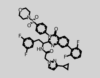 O=C(Cn1ccc(C2CC2)n1)NC(Cc1cc(F)cc(F)c1)c1nc2cc(-c3c(F)cccc3F)ccc2c(=O)n1-c1ccc(S(=O)(=O)N2CCOCC2)cc1